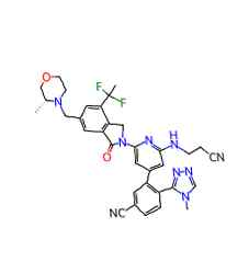 C[C@@H]1COCCN1Cc1cc2c(c(C(C)(F)F)c1)CN(c1cc(-c3cc(C#N)ccc3-c3nncn3C)cc(NCCC#N)n1)C2=O